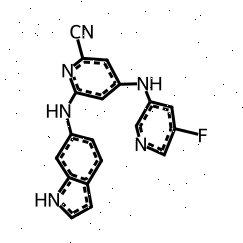 N#Cc1cc(Nc2cncc(F)c2)cc(Nc2ccc3cc[nH]c3c2)n1